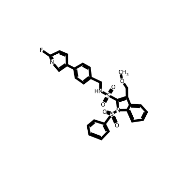 COCc1c(S(=O)(=O)NCc2ccc(-c3ccc(F)nc3)cc2)n(S(=O)(=O)c2ccccc2)c2ccccc12